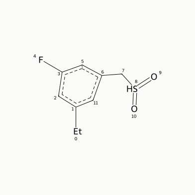 CCc1cc(F)[c]c(C[SH](=O)=O)c1